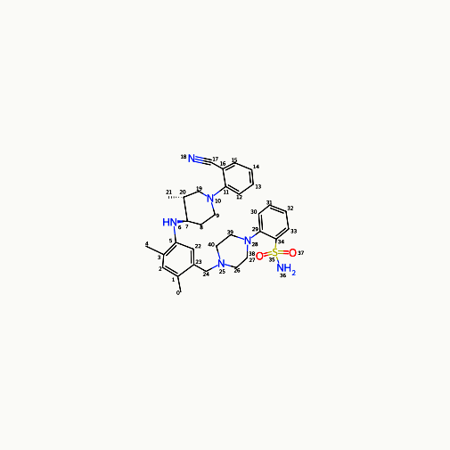 Cc1cc(C)c(N[C@@H]2CCN(c3ccccc3C#N)C[C@H]2C)cc1CN1CCN(c2ccccc2S(N)(=O)=O)CC1